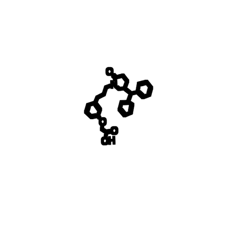 O=C(O)COc1cccc(CCCN2CC(C(c3ccccc3)c3ccccc3)CCC2=O)c1